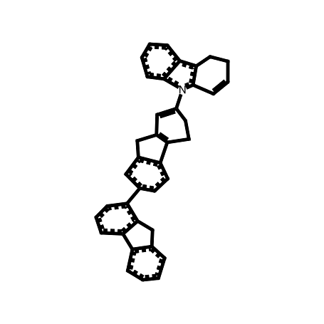 C1=Cc2c(c3ccccc3n2C2=CC3=C(CC2)c2ccc(-c4cccc5c4Cc4ccccc4-5)cc2C3)CC1